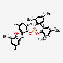 Cc1cc(Cc2cc(C)cc(C(C)(C)C)c2Op2oc3c(C(C)(C)C)cc(C(C)(C)C)cc3c3cc(C(C)(C)C)cc(C(C)(C)C)c3o2)c(O)c(C(C)(C)C)c1